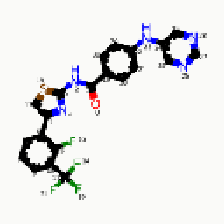 O=C(Nc1nc(-c2cccc(C(F)(F)F)c2F)cs1)c1ccc(Nc2cncnc2)cc1